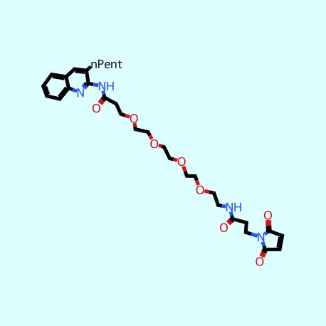 CCCCCc1cc2ccccc2nc1NC(=O)CCOCCOCCOCCOCCNC(=O)CCN1C(=O)C=CC1=O